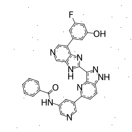 O=C(Nc1cncc(-c2ccc3[nH]nc(-c4nc5c(-c6cc(O)cc(F)c6)cncc5[nH]4)c3n2)c1)c1ccccc1